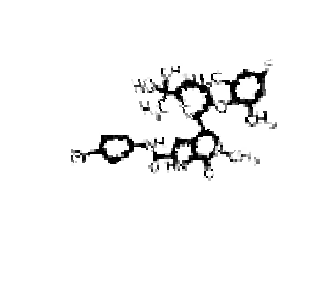 Cc1cc(F)cc(C)c1Oc1ccc(C(C)(C)O)cc1-c1cn(C)c(=O)c2[nH]c(C(=O)Nc3ccc(C(C)C)cc3)cc12